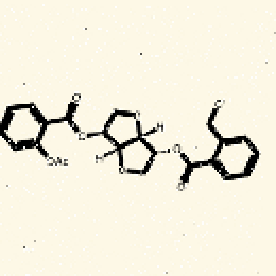 CC(=O)Oc1ccccc1C(=O)O[C@H]1CO[C@H]2[C@@H]1OC[C@H]2OC(=O)c1ccccc1CCl